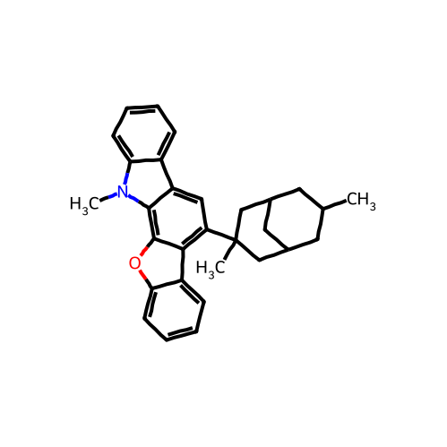 CC1CC2CC(C1)CC(C)(c1cc3c4ccccc4n(C)c3c3oc4ccccc4c13)C2